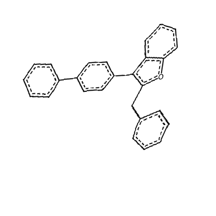 c1ccc(Cc2oc3ccccc3c2-c2ccc(-c3ccccc3)cc2)cc1